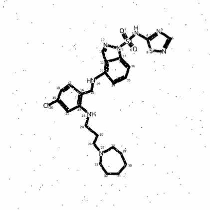 O=S(=O)(Nc1ncns1)n1ncc2c(NCc3ccc(Cl)cc3NCCCN3CCCCCC3)cccc21